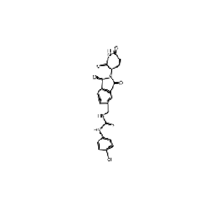 O=C1CCC(N2C(=O)c3ccc(CNC(=S)Nc4ccc(Cl)cc4)cc3C2=O)C(=O)N1